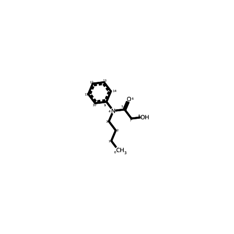 CCCCN(C(=O)CO)c1ccccc1